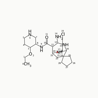 CCOC1CCNCC1NC(=O)C1C(N)NC2CC(Cl)CNC1CC21CCCC1